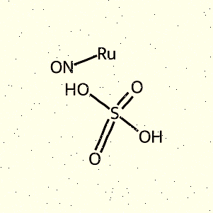 O=S(=O)(O)O.O=[N][Ru]